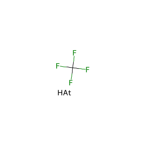 FC(F)(F)F.[AtH]